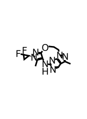 Cc1nn2c3nc(ncc13)Nc1c(nn([C@@H]3CC3(F)F)c1C)OCCC2